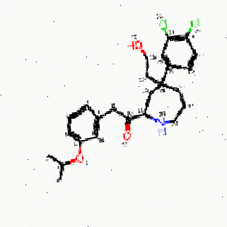 CC(C)Oc1cccc(CC(=O)C2CC(CCO)(c3ccc(Cl)c(Cl)c3)CCCN2)c1